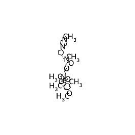 COc1cc(C)c(S(=O)(=O)N(C)CCOCC(=O)N(C)C[C@@H]2CCC(N3CCN(C)CC3)C2)c(C)c1